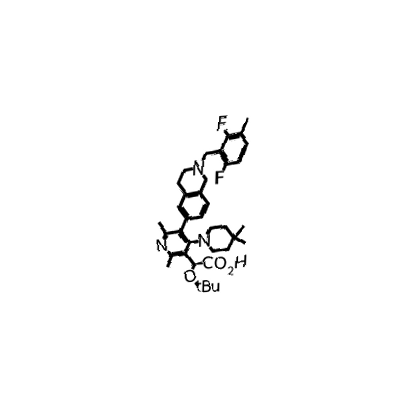 Cc1ccc(F)c(CN2CCc3cc(-c4c(C)nc(C)c([C@H](OC(C)(C)C)C(=O)O)c4N4CCC(C)(C)CC4)ccc3C2)c1F